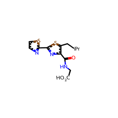 CC(C)Cc1sc(-c2nccs2)nc1C(=O)NCC(=O)O